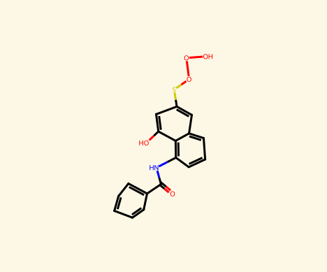 O=C(Nc1cccc2cc(SOOO)cc(O)c12)c1ccccc1